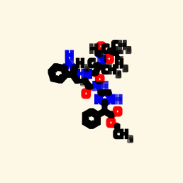 CCOC(=O)C(c1ccccc1)c1nc(NC(=O)[C@@H](Cc2c[nH]c3ccccc23)NC(=O)C(C)(C)N(C=O)OC(C)(C)C)c[nH]1